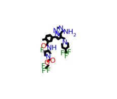 Cc1ccc(-c2cc(CN3CCC(C(F)(F)F)CC3)c3c(N)ncnn23)cc1C(=O)N[C@@H]1CN(C(=O)OCC(F)(F)F)C[C@@H]1F